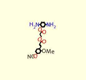 COc1cc(OC#N)ccc1/C=C/C(=O)OCCC(=O)Oc1cc(N)ccc1N